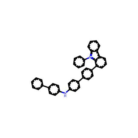 c1ccc(-c2ccc(Nc3ccc(-c4ccc(-c5cccc6c7ccccc7n(-c7ccccc7)c56)cc4)cc3)cc2)cc1